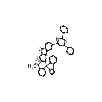 CC1(C)c2ccccc2C2(c3ccccc3-c3ccccc32)c2cc3c(cc21)oc1ccc(-c2cc(-c4ccccc4)nc(-c4ccccc4)n2)cc13